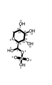 O=S(=O)(O)OC(O)[C@H]1OC[C@H](O)[C@@H](O)[C@@H]1O